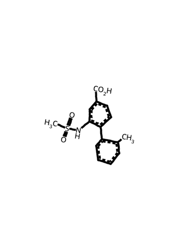 Cc1ccccc1-c1ccc(C(=O)O)cc1NS(C)(=O)=O